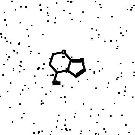 CC(C)(C)C1CCOc2nccn21